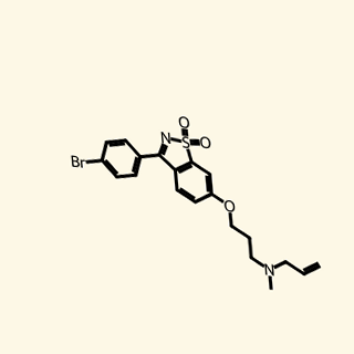 C=CCN(C)CCCOc1ccc2c(c1)S(=O)(=O)N=C2c1ccc(Br)cc1